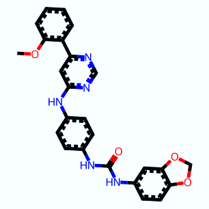 COc1ccccc1-c1cc(Nc2ccc(NC(=O)Nc3ccc4c(c3)OCO4)cc2)ncn1